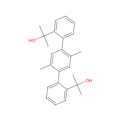 Cc1cc(-c2ccccc2C(C)(C)O)c(C)cc1-c1ccccc1C(C)(C)O